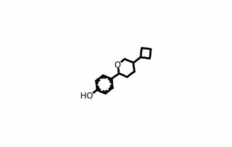 Oc1ccc(C2CCC(C3CCC3)CO2)cc1